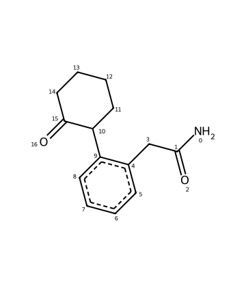 NC(=O)Cc1ccccc1C1CCCCC1=O